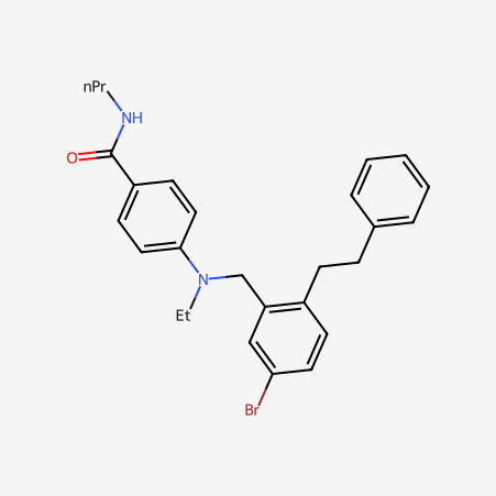 CCCNC(=O)c1ccc(N(CC)Cc2cc(Br)ccc2CCc2ccccc2)cc1